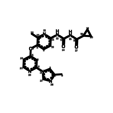 Cc1cn(-c2cc(Oc3ccc(NC(=O)NC(=O)C4CC4)nc3C)ccn2)cn1